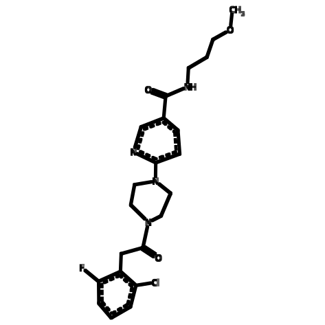 COCCCNC(=O)c1ccc(N2CCN(C(=O)Cc3c(F)cccc3Cl)CC2)nc1